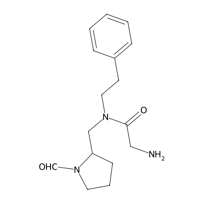 NCC(=O)N(CCc1ccccc1)CC1CCCN1C=O